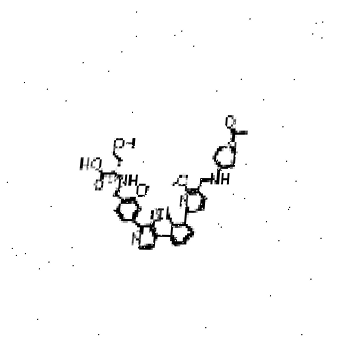 COc1cc(-c2nccc(-c3cccc(-c4ccc(CNC5CCN(C(C)=O)CC5)c(OC)n4)c3Cl)c2Cl)ccc1CN[C@@H](CCO)C(=O)O